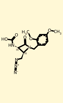 COc1ccc(CN2C(=O)[C@@H](NC(=O)O)[C@@H]2CN=[N+]=[N-])c(OC)c1